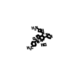 Cc1ccc(S(=O)(=O)n2ccc3c(NC4CC(N)C4)c(-c4ccncn4)cnc32)cc1.Cl